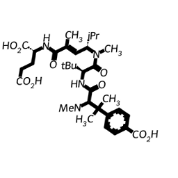 CNC(C(=O)N[C@H](C(=O)N(C)[C@H](/C=C(\C)C(=O)N[C@H](CCC(=O)O)C(=O)O)C(C)C)C(C)(C)C)C(C)(C)c1ccc(C(=O)O)cc1